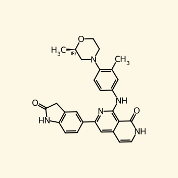 Cc1cc(Nc2nc(-c3ccc4c(c3)CC(=O)N4)cc3cc[nH]c(=O)c23)ccc1N1CCO[C@H](C)C1